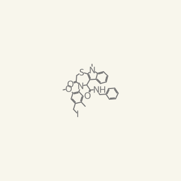 COc1cc(CI)c(C)cc1N1C(=O)CSc2c(c3ccccc3n2C)C1C(=O)NCc1ccccc1